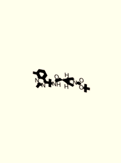 Cc1nc(C(C)(C)NC2OC2[C@H]2[C@@H]3CN(C(=O)OC(C)(C)C)C[C@@H]32)c2cccc(C)c2n1